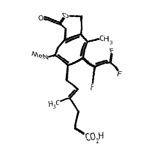 CNc1c(C/C=C(\C)CCC(=O)O)c(C(F)=C(F)F)c(C)c2c1C(=O)OC2